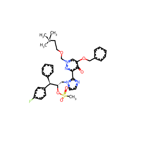 C[Si](C)(C)CCOCn1cc(OCc2ccccc2)c(=O)c(-c2nccn2C[C@H](OS(C)(=O)=O)[C@H](c2ccccc2)c2ccc(F)cc2)n1